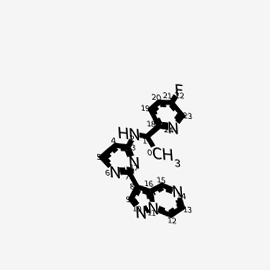 CC(Nc1ccnc(-c2cnn3ccncc23)n1)c1ccc(F)cn1